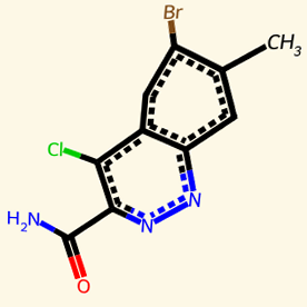 Cc1cc2nnc(C(N)=O)c(Cl)c2cc1Br